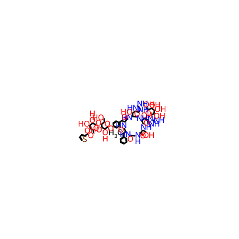 CC(c1ccccc1)C1NC(=O)CNC(=O)C(CO)NC(=O)C(C(O)C2CNC(=N)N2C2OC(CO)C(O)C(O)C2O)NC(=O)C(C(O)C2CNC(=N)N2)NC(=O)C(Cc2ccc(OC3OC(CO)C(OC4OC5COC(c6cccs6)OC5C(O)C4O)C(O)C3O)cc2)NC1=O